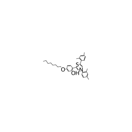 CCCCCCCCOc1ccc(C2=CN(c3ccc(C)cc3C)C=C(c3ccc(C)cc3C)S2)c(O)c1